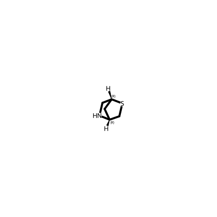 C1S[C@H]2CN[C@@H]1C2